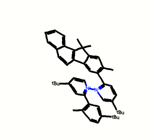 Cc1ccc(C(C)(C)C)cc1-c1cc(C(C)(C)C)cc[n+]1-[n+]1cc(C(C)(C)C)ccc1-c1cc2c(cc1C)C(C)(C)c1c-2ccc2ccccc12